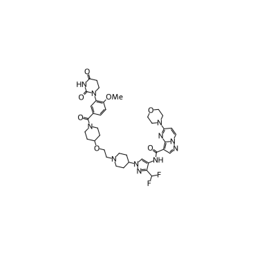 COc1ccc(C(=O)N2CCC(OCCN3CCC(n4cc(NC(=O)c5cnn6ccc(N7CCOCC7)nc56)c(C(F)F)n4)CC3)CC2)cc1N1CCC(=O)NC1=O